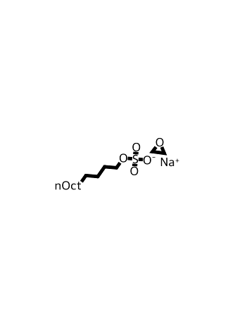 C1CO1.CCCCCCCCCCCCOS(=O)(=O)[O-].[Na+]